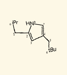 CC(C)Cc1cc(CC(C)(C)C)c[nH]1